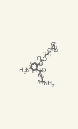 NC(=S)COC(=O)c1cc(N)ccc1OC(=O)OCCO[N+](=O)[O-]